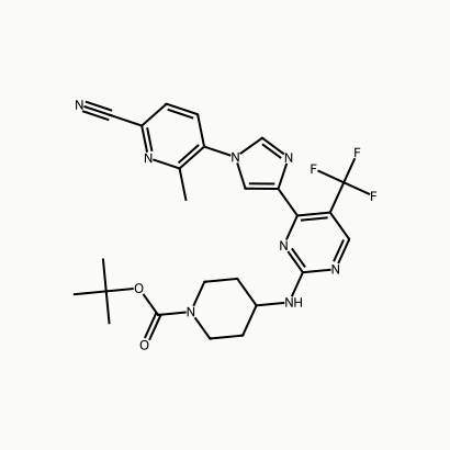 Cc1nc(C#N)ccc1-n1cnc(-c2nc(NC3CCN(C(=O)OC(C)(C)C)CC3)ncc2C(F)(F)F)c1